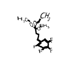 CCOC(CCCc1cc(F)c(F)c(F)c1F)(O[SiH3])OCC